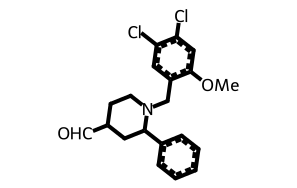 COc1cc(Cl)c(Cl)cc1CN1CCC(C=O)CC1c1ccccc1